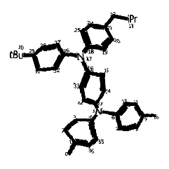 Cc1ccc(N(c2ccc(C)cc2)c2ccc(N(c3ccc(CC(C)C)cc3)c3ccc(C(C)(C)C)cc3)cc2)cc1